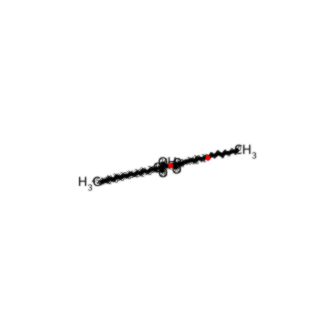 CCCCCCCCCCCCCCCCCCOC(=O)CCC(O)C(=O)OCCCCCCCCCCCCCCCCCC